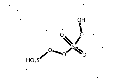 O=S(=O)(O)OOS(=O)(=O)OO